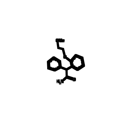 COCCOc1ccccc1C(C(N)=O)c1ccccc1